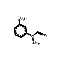 CSN(C=N)c1cccc(C(=O)O)c1